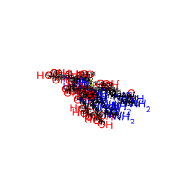 Nc1nc(N)c2nc(CNc3ccc(C(=O)N[C@@H](CCSSC[C@H](NC(=O)[C@H](CCC(=O)NCC[C@@H](O)C(O)[C@H](O)CO)NC(=O)[C@H](CCC(=O)O)NC(=O)[C@H](CCC(=O)NCC[C@@H](O)C[C@H](O)CO)NC(=O)[C@H](CCC(=O)O)NC(=O)[C@H](CCC(=O)NCC[C@@H](O)C(O)[C@H](O)CO)NC(=O)CC[C@H](NC(=O)c4ccc(NCc5cnc6nc(N)[nH]c(=O)c6n5)cc4)C(=O)O)C(=O)O)C(=O)O)cc3)cnc2n1